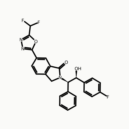 O=C1c2cc(-c3nnc(C(F)F)o3)ccc2CN1[C@H](c1ccccc1)[C@@H](O)c1ccc(F)cc1